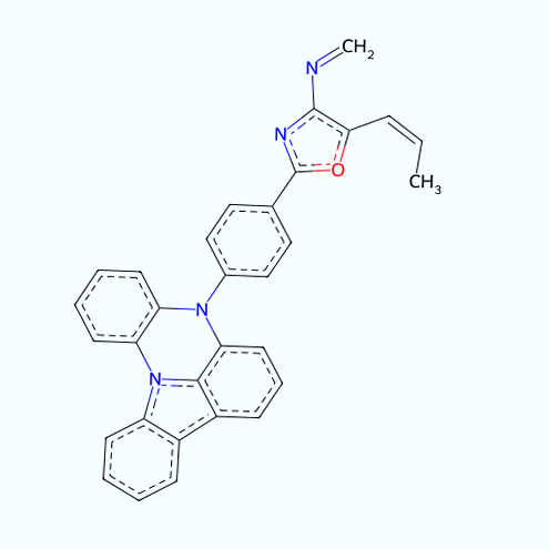 C=Nc1nc(-c2ccc(N3c4ccccc4-n4c5ccccc5c5cccc3c54)cc2)oc1/C=C\C